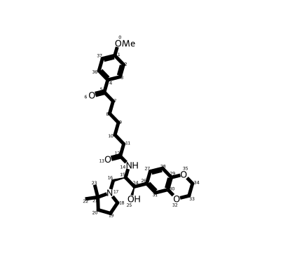 COc1ccc(C(=O)CCCCCC(=O)N[C@H](CN2CCCC2(C)C)[C@H](O)c2ccc3c(c2)OCCO3)cc1